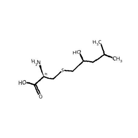 CC(C)CC(O)CSC[C@H](N)C(=O)O